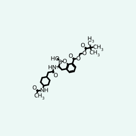 CC(=O)NC1CCC(CC(=O)N[C@H]2Cc3cccc(C(=O)OCOC(=O)C(C)(C)C)c3OB2O)CC1